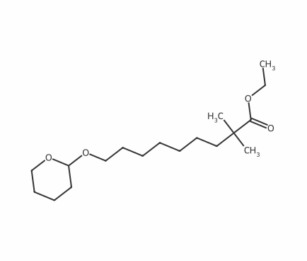 CCOC(=O)C(C)(C)CCCCCCCOC1CCCCO1